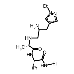 CCNC(=O)[C@@H](NC(=O)[C@H](C)NCC(N)Cc1cnn(CC)c1)C(C)C